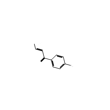 CCOC(=O)C=CC(=O)c1ccc(N)cc1